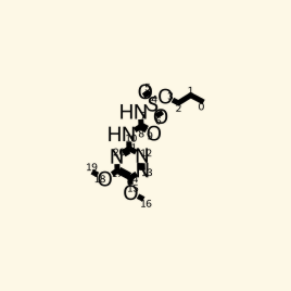 CCCOS(=O)(=O)NC(=O)Nc1nnc(OC)c(OC)n1